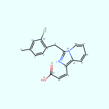 Cc1ccc(Cc2nc(/C=C\C(=O)O)c3ccccn23)c(Cl)c1